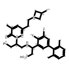 Cc1cccc(C)c1-c1cc(F)c(F)c(C(CC(=O)O)NCC(CC(C)C)n2nc(CCN3CC(F)C3)cc(C)c2=O)c1